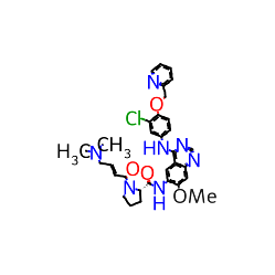 COc1cc2ncnc(Nc3ccc(OCc4ccccn4)c(Cl)c3)c2cc1NC(=O)[C@@H]1CCCN1C(=O)C=CCN(C)C